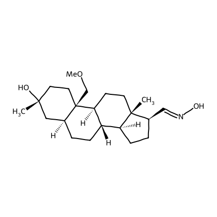 COC[C@]12CC[C@@](C)(O)C[C@@H]1CC[C@H]1[C@@H]3CC[C@H](/C=N/O)[C@@]3(C)CC[C@@H]12